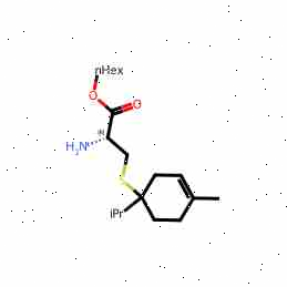 CCCCCCOC(=O)[C@@H](N)CSC1(C(C)C)CC=C(C)CC1